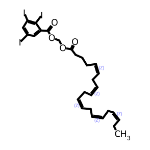 CC/C=C\C/C=C\C/C=C\C/C=C\C/C=C\CCCC(=O)OCOC(=O)c1cc(I)cc(I)c1I